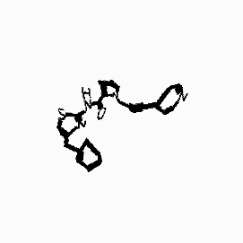 O=C(Nc1nc(Cc2ccccc2)cs1)c1cccn1CC#Cc1ccncc1